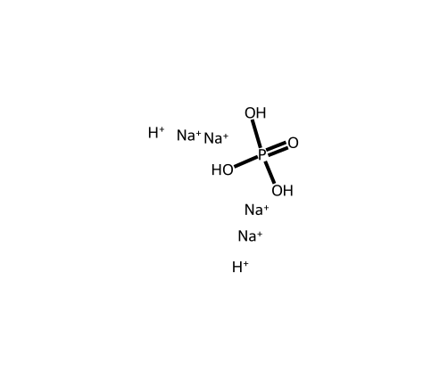 O=P(O)(O)O.[H+].[H+].[Na+].[Na+].[Na+].[Na+]